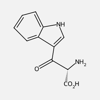 N[C@H](C(=O)O)C(=O)c1c[nH]c2ccccc12